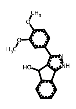 COc1ccc(-c2n[nH]c3c2C(O)c2ccccc2-3)cc1OC